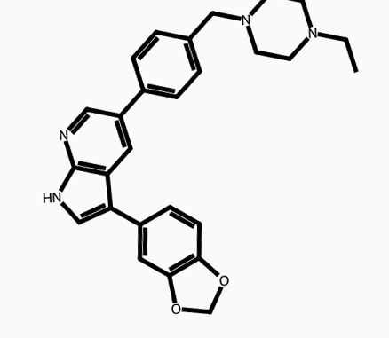 CCN1CCN(Cc2ccc(-c3cnc4[nH]cc(-c5ccc6c(c5)OCO6)c4c3)cc2)CC1